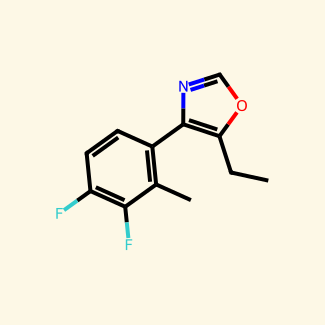 CCc1ocnc1-c1ccc(F)c(F)c1C